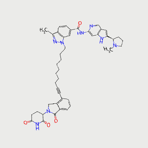 Cc1nn(CCCCCCCCC#Cc2cccc3c2CN(C2CCC(=O)NC2=O)C3=O)c2cc(C(=O)Nc3cc4[nH]c([C@H]5CCCN5C)cc4cn3)ccc12